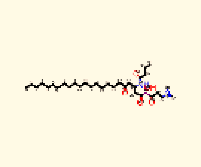 CCCCCCCCCCCCCCCCCCC(=O)CC(CC(=O)P(O)C(=O)CCN(C)C)NC(=O)CCC